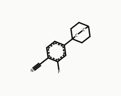 N#Cc1ccc(C23CCC(CC2)CC3)cc1F